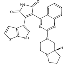 O=C1NC(=O)C(c2c[nH]c3sccc23)=C1c1nc(N2CCN3CCC[C@H]3C2)nc2ccccc12